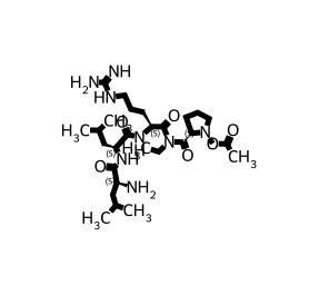 CCN(C(=O)[C@H](CCCNC(=N)N)NC(=O)[C@H](CC(C)C)NC(=O)[C@@H](N)CC(C)C)C(=O)[C@@H]1CCCN1OC(C)=O